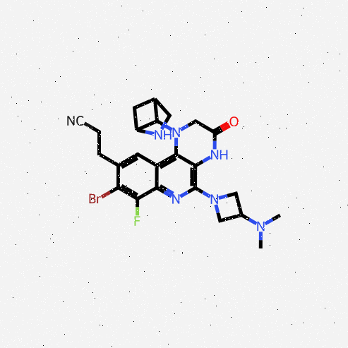 CN(C)C1CN(c2nc3c(F)c(Br)c(CCC#N)cc3c3c2NC(=O)CN3C2C3CNC2C3)C1